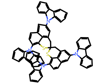 c1ccc2c(c1)c1ccccc1n2-c1cc2c3c(c(-n4c5ccccc5c5ccccc54)ccc3c1)SC1(C2)Cc2cc(-n3c4ccccc4c4ccccc43)cc3ccc(-n4c5ccccc5c5ccccc54)c(c23)S1